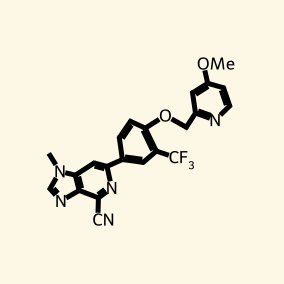 COc1ccnc(COc2ccc(-c3cc4c(ncn4C)c(C#N)n3)cc2C(F)(F)F)c1